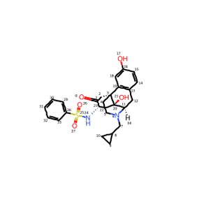 O=C1C[C@]23CCN(CC4CC4)[C@H](Cc4ccc(O)cc42)[C@]3(O)C[C@@H]1NS(=O)(=O)c1ccccc1